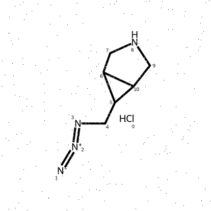 Cl.[N-]=[N+]=NCC1C2CNCC12